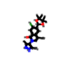 Cc1n[nH]c(C(F)(F)F)c1-n1cc(C(C)C)c2cc(B3OC(C)(C)C(C)(C)O3)c(F)cc2c1=O